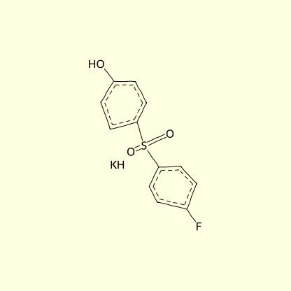 O=S(=O)(c1ccc(O)cc1)c1ccc(F)cc1.[KH]